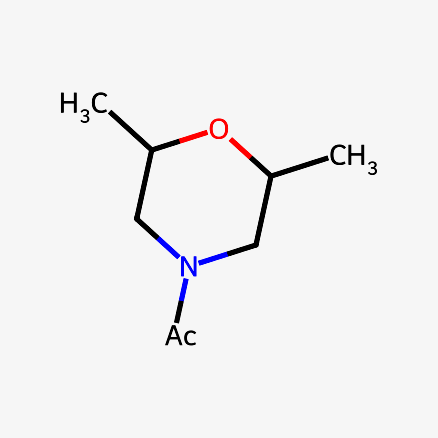 [CH2]C(=O)N1CC(C)OC(C)C1